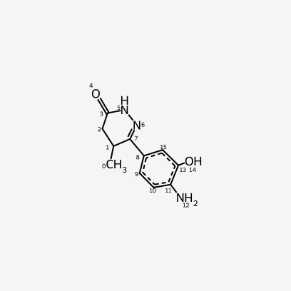 CC1CC(=O)NN=C1c1ccc(N)c(O)c1